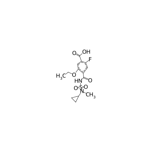 CCOc1cc(C(=O)O)c(F)cc1C(=O)NS(=O)(=O)N(C)C1CC1